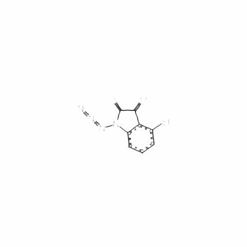 CCc1cccc2c1C(=O)C(=O)N2N=[N+]=[N-]